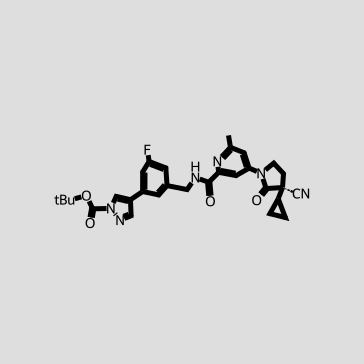 Cc1cc(N2CC[C@@](C#N)(C3CC3)C2=O)cc(C(=O)NCc2cc(F)cc(-c3cnn(C(=O)OC(C)(C)C)c3)c2)n1